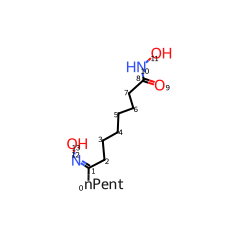 CCCCCC(CCCCCCC(=O)NO)=NO